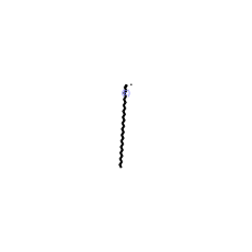 [CH]=C/C=C/CCCCCCCCCCCCCCCCCCCCCCCCC